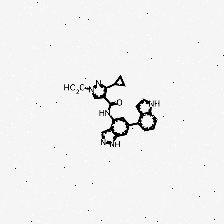 O=C(Nc1cc(-c2cccc3[nH]ccc23)cc2[nH]ncc12)c1cn(C(=O)O)nc1C1CC1